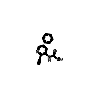 C#Cc1ncccc1NC(=O)C(C)(C)C.c1ccccc1